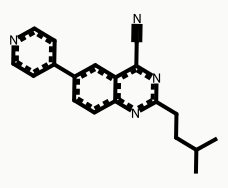 CC(C)CCc1nc(C#N)c2cc(-c3ccncc3)ccc2n1